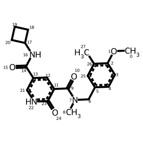 COc1ccc(CN(C)C(=O)c2cc(C(=O)NC3CCC3)c[nH]c2=O)cc1C